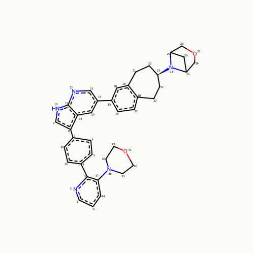 c1cnc(-c2ccc(-c3c[nH]c4ncc(-c5ccc6c(c5)CC[C@@H](N5C7COCC5C7)CC6)cc34)cc2)c(N2CCOCC2)c1